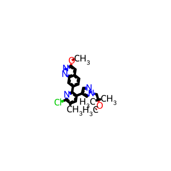 COc1cc2ccc(-c3nc(Cl)c(C)cc3-c3cnn(CC(C)(C)OC)c3)cc2nn1